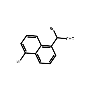 O=CC(Br)c1cccc2c(Br)cccc12